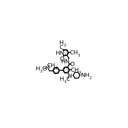 Cc1cc(C)c(CNC(=O)c2cc(-c3ccc(CN(C)C)cc3)cc(N(C)[C@H]3CC[C@@H](N)CC3)c2C)c(=O)[nH]1